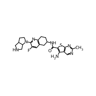 Cc1ncc2c(N)c(C(=O)NC3CCc4nc(N5CCC6CNCC65)c(F)cc4C3)sc2n1